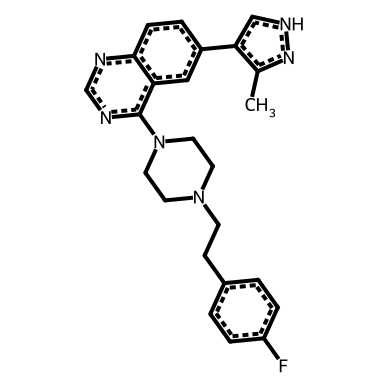 Cc1n[nH]cc1-c1ccc2ncnc(N3CCN(CCc4ccc(F)cc4)CC3)c2c1